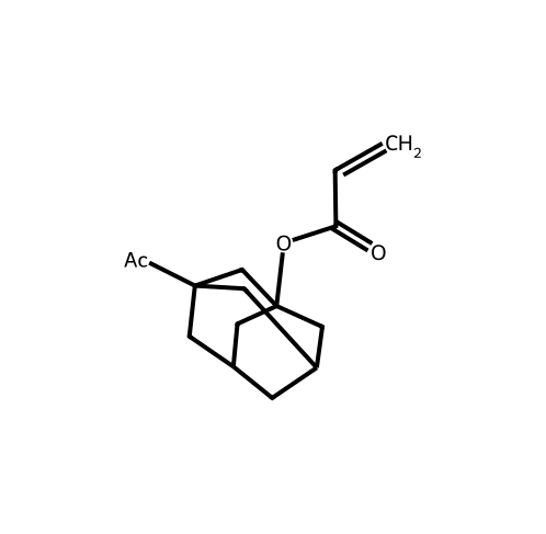 C=CC(=O)OC12CC3CC(C1)CC(C(C)=O)(C3)C2